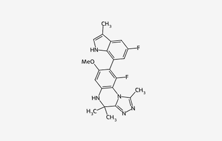 COc1cc2c(c(F)c1-c1cc(F)cc3c(C)c[nH]c13)-n1c(C)nnc1C(C)(C)N2